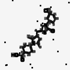 Cc1cc(/C=C2/CN(c3cccc(Cl)c3)C(=O)S2)c(C)n1-c1ccc(C(=O)O)cc1